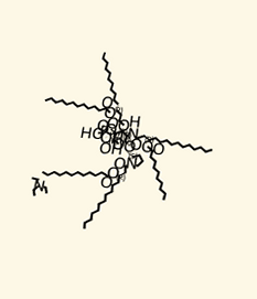 CCCCCCCCCCCC(=O)O[C@H](CCCCCCCCCCC)CC(=O)O[C@@H]1[C@@H](NC(=O)C[C@@H](CCCCCCCCCCC)OC(=O)CCCCCCCCC)[C@H](OC[C@@H]2CCCN2C(=O)C[C@@H](CCCCCCCCCCC)OC(=O)CCCCCCCCCCC)O[C@H](CO)[C@H]1OP(=O)(O)O.CCN(CC)CC